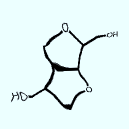 OC1COC2C(O)OCC12